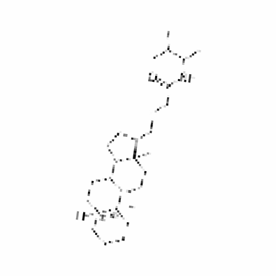 CC(C)C(C)NC(=O)CCCC1CCC2C3CC[C@@H]4CCCC[C@]4(C)C3CCC12C